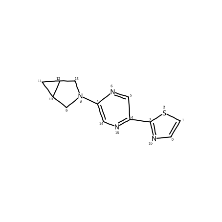 c1csc(-c2cnc(N3CC4CC4C3)cn2)n1